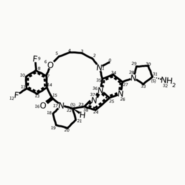 CN1CCCCOc2c(F)cc(F)cc2C(=O)N2CCCC[C@H]2c2cc3nc(N4CC[C@H](N)C4)cc1n3n2